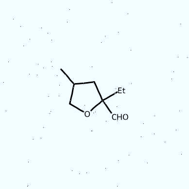 CCC1(C=O)CC(C)CO1